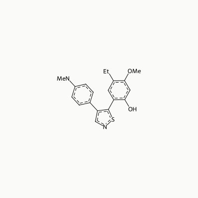 CCc1cc(-c2sncc2-c2ccc(NC)cc2)c(O)cc1OC